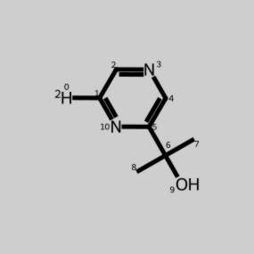 [2H]c1cncc(C(C)(C)O)n1